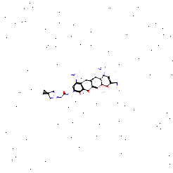 CN(C)c1cc(NC(=O)CN2CC3(CC3)C2)c(O)c2c1C[C@H]1C[C@H]3[C@H](N(C)C)C(O)=C(C(N)=O)C4(O)O[C@]34C(O)=C1C2=O